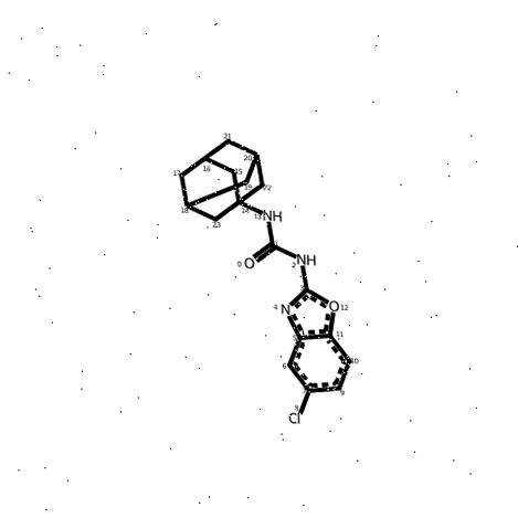 O=C(Nc1nc2cc(Cl)ccc2o1)NC12CC3CC(CC(C3)C1)C2